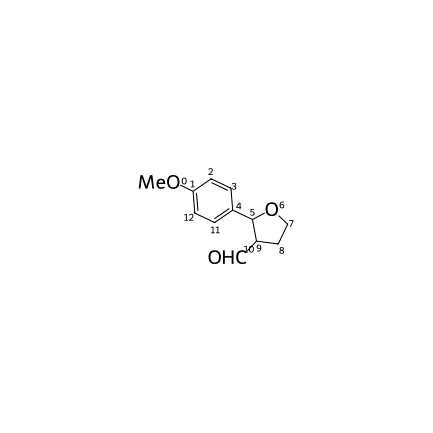 COc1ccc(C2OCCC2C=O)cc1